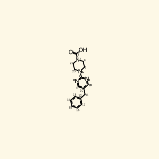 O=C(O)N1CCN(c2ncc(Cc3ccccc3)cn2)CC1